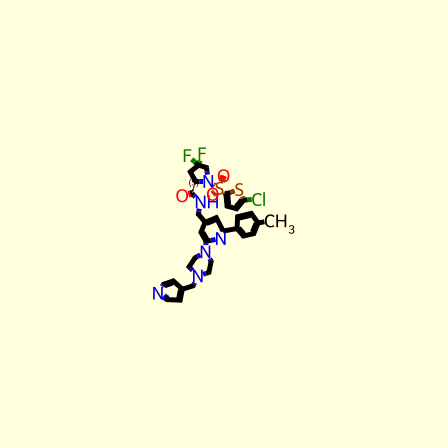 Cc1ccc(-c2cc(CNC(=O)[C@@H]3CC(F)(F)CN3S(=O)(=O)c3ccc(Cl)s3)cc(N3CCN(Cc4ccncc4)CC3)n2)cc1